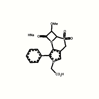 COC1C(=O)N2c3c(cn(CC(=O)O)c3-c3ccccc3)CS(=O)(=O)C12.[NaH]